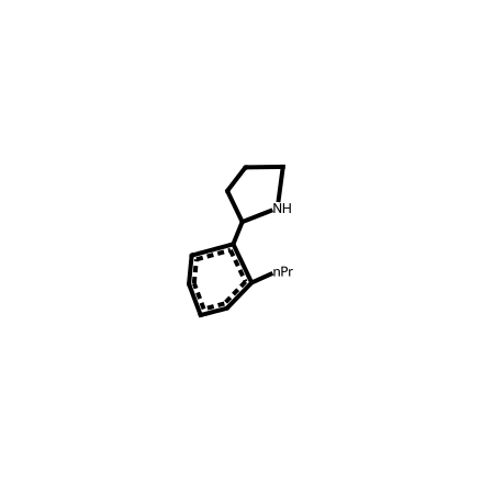 CCCc1ccccc1C1CCCN1